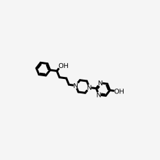 Oc1cnc(N2CCN(CCCC(O)c3ccccc3)CC2)nc1